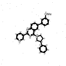 COc1cccc(-c2ccc3nc(-c4cccnc4)nc(N4CCC(c5ccccc5)C4)c3c2)c1